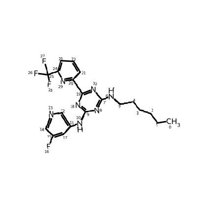 CCCCCCNc1nc(Nc2cncc(F)c2)nc(-c2cccc(C(F)(F)F)n2)n1